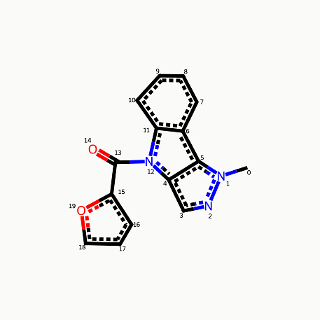 Cn1ncc2c1c1ccccc1n2C(=O)c1ccco1